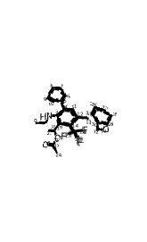 CCNc1c(-c2ccccc2)cc(C)c(C(F)(F)F)c1C(C)OC(C)=O.c1ccc2c(c1)CO2